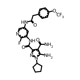 NC(=O)c1c(C(=O)Nc2cc(NC(=O)Cc3ccc(OC(F)(F)F)cc3)cnc2F)nn(C2CCCC2)c1N